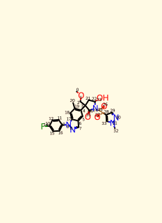 COCC1(c2cc3cnn(-c4ccc(F)cc4)c3cc2C)CC(O)N(S(=O)(=O)c2cnn(C)c2)C1=O